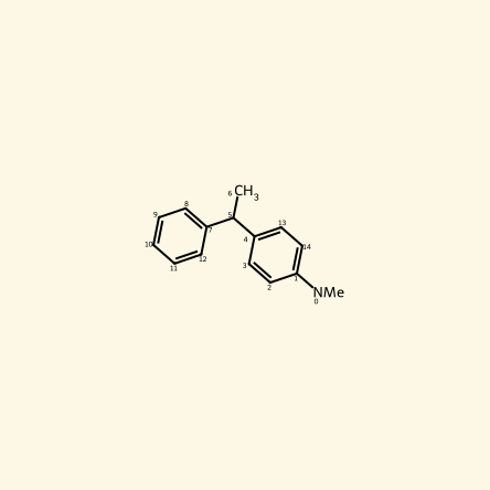 CNc1ccc(C(C)c2ccccc2)cc1